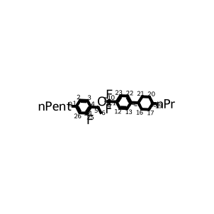 CCCCCc1ccc(C(C)OC(F)(F)c2ccc(C3CCC(CCC)CC3)cc2)c(F)c1